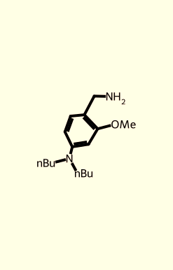 CCCCN(CCCC)c1ccc(CN)c(OC)c1